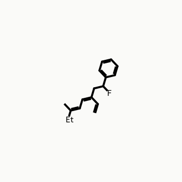 C=C/C(=C\C=C(/C)CC)CC(F)c1ccccc1